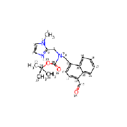 Cn1ccnc1CN(Cc1ccc(C=O)c2ccccc12)C(=O)OC(C)(C)C